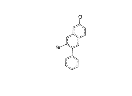 Clc1ccc2cc(-c3ccccc3)c(Br)cc2c1